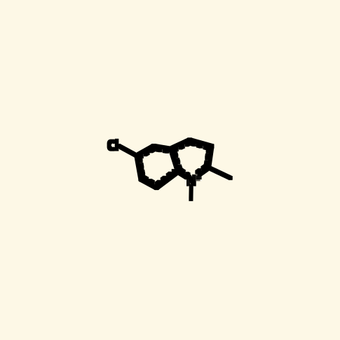 Cc1ccc2cc(Cl)ccc2[n+]1C